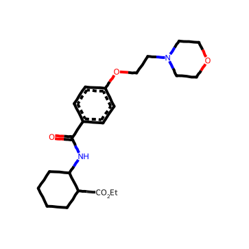 CCOC(=O)C1CCCCC1NC(=O)c1ccc(OCCN2CCOCC2)cc1